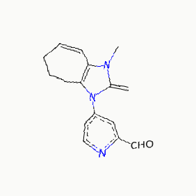 C=C1N(C)C2=C(CCCC=C2)N1c1ccnc(C=O)c1